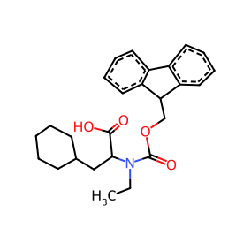 CCN(C(=O)OCC1c2ccccc2-c2ccccc21)C(CC1CCCCC1)C(=O)O